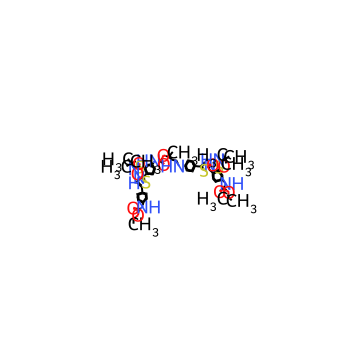 CCOC(=O)Nc1ccc(-c2cnc(-c3ccc(NC(=O)OC(C)CCNc4ccc(-c5cnc(-c6ccc(NC(=O)OC(C)C)cc6S(=O)(=O)NC(C)(C)C)s5)cc4)cc3S(=O)(=O)NC(C)(C)C)s2)cc1